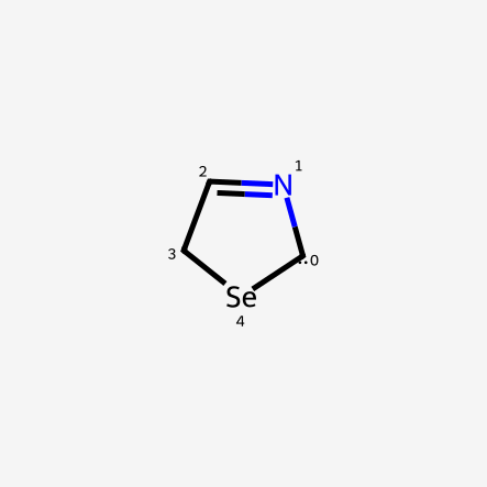 [C]1N=CC[Se]1